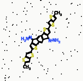 Cc1cc2sc(-c3cc4/c(=N\N)c5cc6c(cc5c4s3)/c(=N/N)c3cc(-c4cc5sc(C)cc5s4)sc36)cc2s1